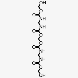 O=C(NCNC(=O)OCOC(=O)NCNC(=O)OCO)OCO